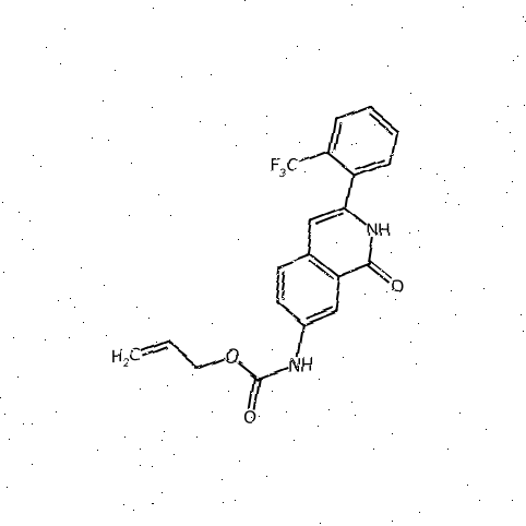 C=CCOC(=O)Nc1ccc2cc(-c3ccccc3C(F)(F)F)[nH]c(=O)c2c1